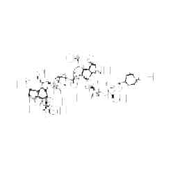 Cc1ccc(COC(=S)N(C)CCN(C)C(=S)Oc2cc3c(c4c(C)c[nH]c24)C(CCl)CN3C(=O)C23CC4(C(=O)N5CC(CCl)c6c5cc(OP(=O)(O)O)c5[nH]cc(C)c65)CC24C3)cc1